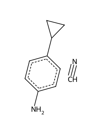 C#N.Nc1ccc(C2CC2)cc1